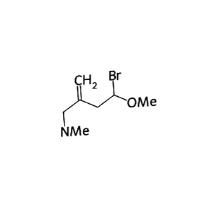 C=C(CNC)CC(Br)OC